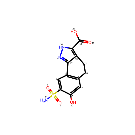 NS(=O)(=O)c1cc2c(cc1O)CCc1c-2n[nH]c1C(=O)O